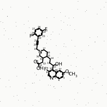 COc1ccc2ncc(F)c(C(O)CCC3CCN(CC#Cc4cc(F)ccc4F)CC3CC(=O)O)c2c1